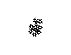 c1ccc(N2c3ccccc3B3c4ccccc4N4c5cc6c(cc5B5c7ccccc7N(c7ccccc7)c7cc2c3c4c75)c2ccccc2n6-c2ccccc2)cc1